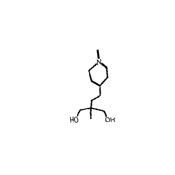 CN1CCC(CCC(C)(CO)CO)CC1